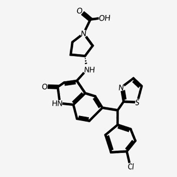 O=C(O)N1CC[C@@H](Nc2cc(=O)[nH]c3ccc(C(c4ccc(Cl)cc4)c4nccs4)cc23)C1